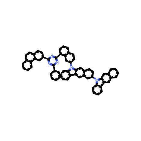 c1ccc(-c2nc(-c3ccc4ccc5ccccc5c4c3)nc(-c3cccc4ccc(-n5c6ccccc6c6cc7cc(-n8c9ccccc9c9cc%10ccccc%10cc98)ccc7cc65)cc34)n2)cc1